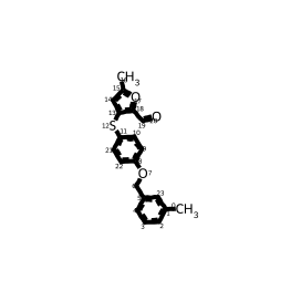 Cc1cccc(COc2ccc(Sc3cc(C)oc3C=O)cc2)c1